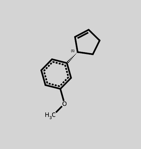 COc1cccc([C@@H]2C=CCC2)c1